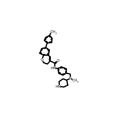 Cc1ccc(-c2ccc3c(c2)C=C(C(=O)Nc2ccc(CN(C)C4CCNCC4)cc2)CCO3)cc1